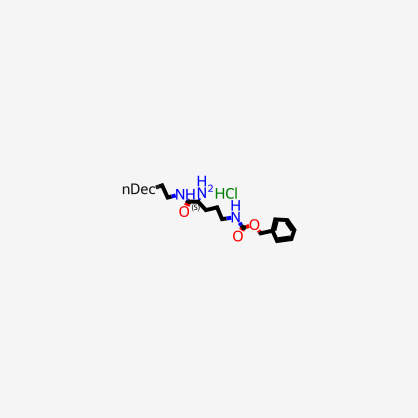 CCCCCCCCCCCCNC(=O)[C@@H](N)CCCNC(=O)OCc1ccccc1.Cl